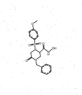 COc1ccc(S(=O)(=O)N2CC(=O)N(Cc3ccccc3)CC2C(=O)NO)cc1